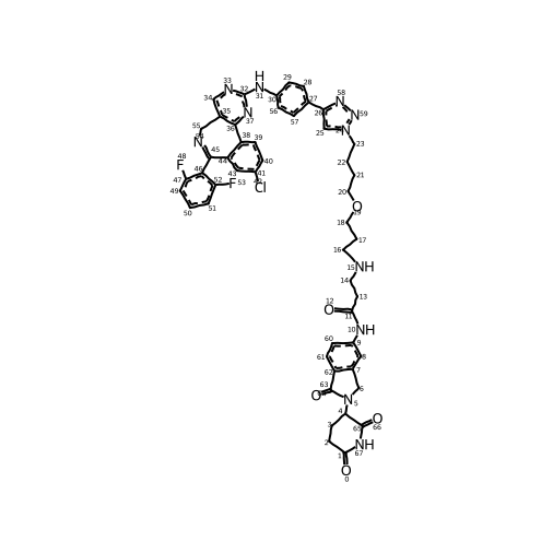 O=C1CCC(N2Cc3cc(NC(=O)CCNCCCOCCCCn4cc(-c5ccc(Nc6ncc7c(n6)-c6ccc(Cl)cc6C(c6c(F)cccc6F)=NC7)cc5)nn4)ccc3C2=O)C(=O)N1